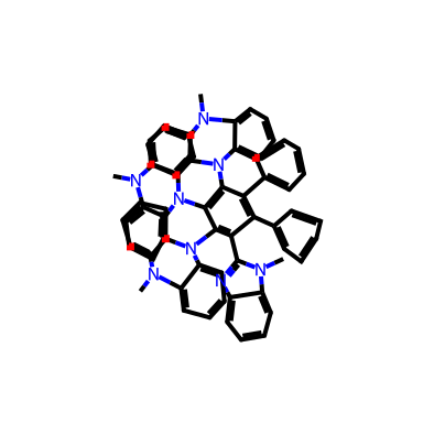 CN1c2ccccc2N(c2c(-c3ccccc3)c(-c3ccccc3)c(-c3nc4ccccc4n3C)c(N3c4ccccc4N(C)c4ccccc43)c2N2c3ccccc3N(C)c3ccccc32)c2ccccc21